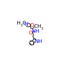 CC1OC2(CCN(C)CC2)CC1NC(=O)CCc1c[nH]c2ccccc12